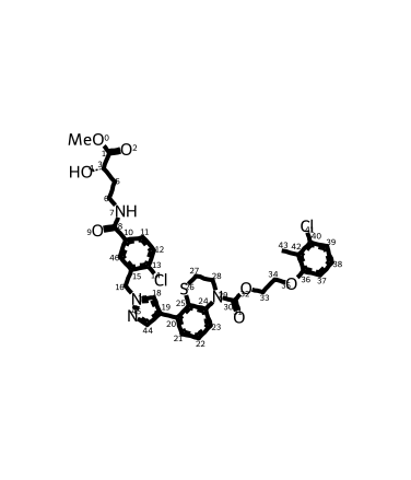 COC(=O)[C@@H](O)CCNC(=O)c1ccc(Cl)c(Cn2cc(-c3cccc4c3SCCN4C(=O)OCCOc3cccc(Cl)c3C)cn2)c1